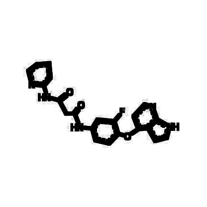 O=C(CC(=O)Nc1ccccn1)Nc1ccc(Oc2ccnc3[nH]ccc23)c(F)c1